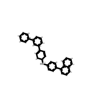 C1=CC(Nc2ccc(-c3cccc4ccccc34)cc2)CC=C1c1cccc(-c2ccccc2)c1